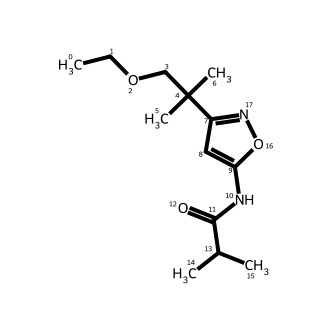 CCOCC(C)(C)c1cc(NC(=O)C(C)C)on1